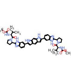 COC(=O)N[C@H](C(=O)N1CCCC1c1nc2ccc(-c3cc4cc5cc(-c6ccc7nc(C8CCCN8C(=O)[C@H](NC(=O)OC)C(C)C)[nH]c7c6)[nH]c5cc4[nH]3)cc2[nH]1)C(C)C